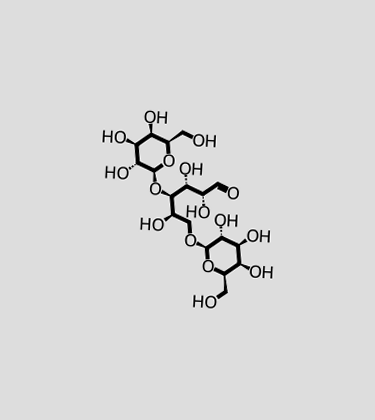 O=C[C@H](O)[C@@H](O)[C@H](O[C@@H]1O[C@H](CO)[C@H](O)[C@H](O)[C@H]1O)[C@H](O)CO[C@@H]1O[C@H](CO)[C@H](O)[C@H](O)[C@H]1O